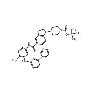 Cc1ccc(NC(=O)c2ccc3c(c2)CCC3N2CCN(C(=O)OC(C)(C)C)CC2)cc1Nc1nccc(-c2cccnc2)n1